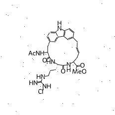 COC(=O)C1C/C=C/Cc2ccc3[nH]c4ccc(cc4c3c2)CC(NC(C)=O)C(=O)N[C@@H](CCCNC(=N)NCl)C(=O)N1